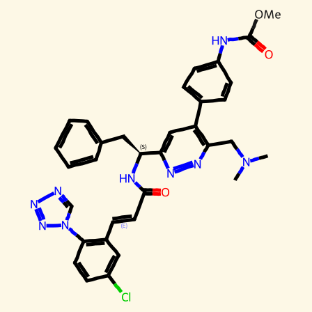 COC(=O)Nc1ccc(-c2cc([C@H](Cc3ccccc3)NC(=O)/C=C/c3cc(Cl)ccc3-n3cnnn3)nnc2CN(C)C)cc1